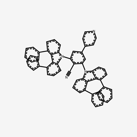 N#Cc1c(-n2c3cccc(-c4ccccc4)c3c3c(-c4ccccc4)cccc32)cc(-c2ccncc2)cc1-n1c2cccc(-c3ccccc3)c2c2c(-c3ccccc3)cccc21